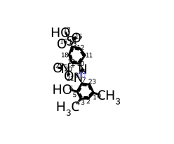 Cc1cc(C)c(O)c(/N=N/c2ccc(S(=O)(=O)O)cc2[N+](=O)[O-])c1